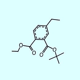 CCOC(=O)c1ccc(CC)cc1C(=O)OC(C)(C)C